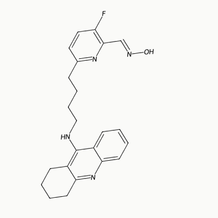 ON=Cc1nc(CCCCNc2c3c(nc4ccccc24)CCCC3)ccc1F